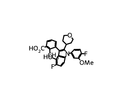 COc1cc(-n2c(C3CCOCC3)c(-c3cccc(C(=O)O)c3C)c3c(O)c(F)ccc32)ccc1F